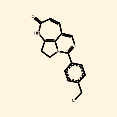 O=C1C=CC2=CN=C(c3ccc(CCl)cc3)N3CCC(=C23)N1